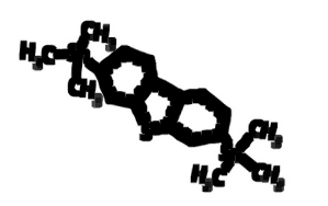 [CH3][Sn]([CH3])([CH3])[c]1ccc2c(c1)sc1c[c]([Sn]([CH3])([CH3])[CH3])ccc12